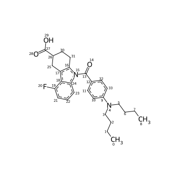 CCCCN(CCCC)c1ccc(C(=O)n2c3c(c4c(F)cccc42)CC(C(=O)O)CC3)cc1